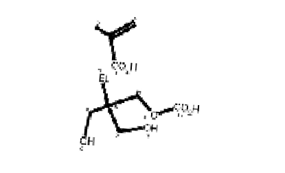 C=C(C)C(=O)O.CCC(CO)(CO)COC(=O)O